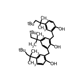 CC(C)(C)CC(C)(C)c1ccc(O)c(Cc2cc(C(C)(C)CC(C)(C)C)cc(Cc3cc(C(C)(C)CC(C)(C)C)ccc3O)c2O)c1